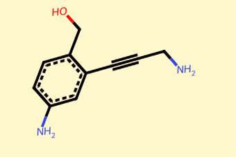 NCC#Cc1cc(N)ccc1CO